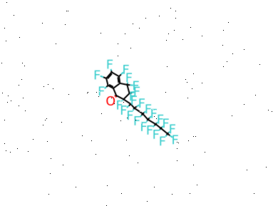 O=C1c2c(F)c(F)c(F)c(F)c2C(F)(F)C(F)(F)C1(F)C(F)(F)C(F)(F)C(F)(F)C(F)(F)C(F)(F)C(F)(F)C(F)(F)F